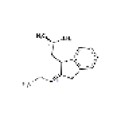 CC/C=C1/Sc2ccccc2C1C[C@@H](C)N